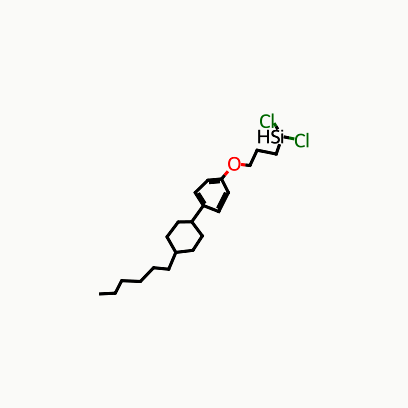 CCCCCCC1CCC(c2ccc(OCCC[SiH](Cl)Cl)cc2)CC1